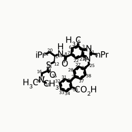 CCCc1nc2c(C)cc(C(=O)N[C@@H](CSC(=O)CN(C)C)CC(C)C)cc2n1Cc1ccc(-c2ccccc2C(=O)O)cc1